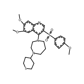 COc1ccc(S(=O)(=O)c2cnc3cc(OC)c(OC)cc3c2N2CCCN(C3CCSCC3)CC2)cc1